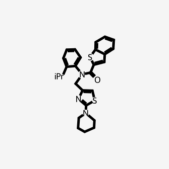 CC(C)c1ccccc1N(Cc1csc(N2CCCCC2)n1)C(=O)c1cc2ccccc2s1